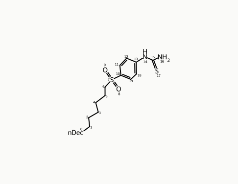 CCCCCCCCCCCCCCCCS(=O)(=O)c1ccc(NC(N)=S)cc1